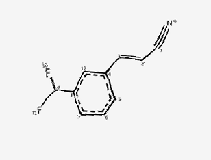 N#CC=Cc1cccc(C(F)F)c1